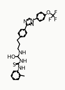 Cc1ccccc1NC(=S)NC(O)NCCCc1ccc(-c2ncn(-c3ccc(OC(F)(F)F)cc3)n2)cc1